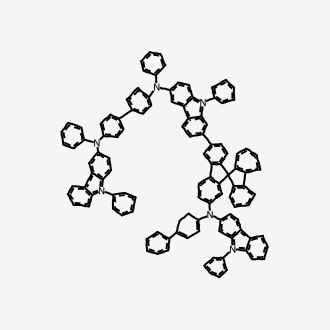 C1=C(c2ccccc2)CCC(N(c2ccc3c(c2)C2(c4ccccc4-c4ccccc42)c2ccc(-c4ccc5c6cc(N(c7ccccc7)c7ccc(-c8ccc(N(c9ccccc9)c9ccc%10c(c9)c9ccccc9n%10-c9ccccc9)cc8)cc7)ccc6n(-c6ccccc6)c5c4)cc2-3)c2ccc3c4ccccc4n(-c4ccccc4)c3c2)=C1